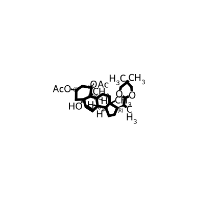 CC(=O)O[C@H]1C[C@H](OC(C)=O)[C@]2(C)[C@H]3CC[C@]4(C)[C@@H](C(C)C5OCC(C)(C)CO5)CC[C@H]4[C@@H]3C=C[C@@]2(O)C1